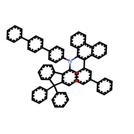 c1ccc(-c2ccc(-c3ccc(N(c4cccc5c4-c4ccccc4C5(c4ccccc4)c4ccccc4)c4c(-c5cccc(-c6ccccc6)c5)c5ccccc5c5ccccc45)cc3)cc2)cc1